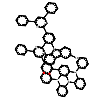 Cc1ccc2c(c1)c1ccccc1n2-c1ccc(-c2nc(-c3ccccc3)cc(-c3ccccc3)n2)cc1-c1nc(-c2ccccc2)cc(-c2cccc(-c3ccc4c5c3N(c3ccccc3)c3ccccc3B5c3ccccc3N4c3ccccc3)c2)n1